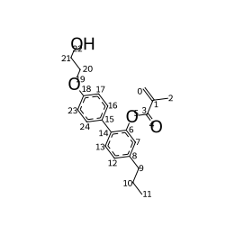 C=C(C)C(=O)Oc1cc(CCC)ccc1-c1ccc(OCCO)cc1